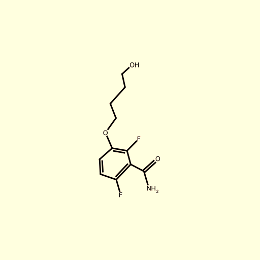 NC(=O)c1c(F)ccc(OCCCCO)c1F